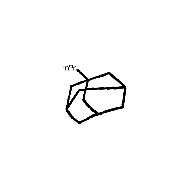 CC[CH]C12CC3CC(CC(C3)C1)C2